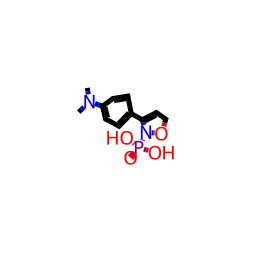 CN(C)c1ccc(C2=CCON2P(=O)(O)O)cc1